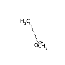 CCCCCCCCCCCCCC(CF)C(C)=O